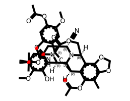 COc1cc2c(cc1OC(C)=O)CCN[C@]21CS[C@@H]2c3c(OC(C)=O)c(C)c4c(c3[C@H](COC1=O)N1C2[C@H]2c3c(cc(C)c(OC)c3O)CC([C@@H]1C#N)N2C(=O)OC(C)(C)C)OCO4